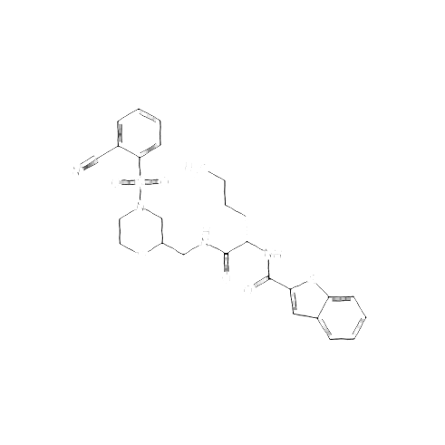 CCCC[C@H](NC(=O)c1cc2ccccc2s1)C(=O)NCC1CN(S(=O)(=O)c2ccccc2C#N)CCO1